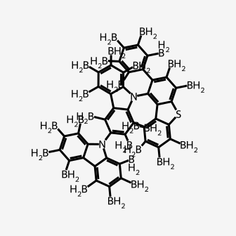 Bc1c(B)c(B)c(-c2c(B)c(B)c3sc4c(B)c(B)c(B)c(B)c4c3c2-n2c3c(B)c(B)c(B)c(B)c3c3c(B)c(-n4c5c(B)c(B)c(B)c(B)c5c5c(B)c(B)c(B)c(B)c54)c(B)c(B)c32)c(B)c1B